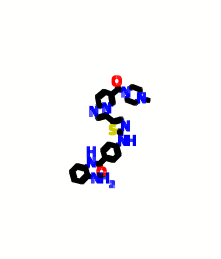 CN1CCN(C(=O)c2ccc3ncc(-c4cnc(Nc5ccc(C(=O)Nc6ccccc6N)cc5)s4)n3c2)CC1